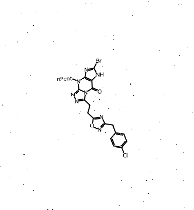 CCCCCn1c2nc(Br)[nH]c2c(=O)n2c(CCc3nc(Cc4ccc(Cl)cc4)no3)nnc12